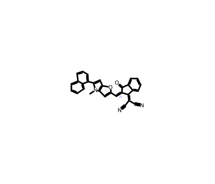 Cn1c(-c2cccc3ccccc23)cc2oc(/C=C3\C(=O)c4ccccc4C3=C(C#N)C#N)cc21